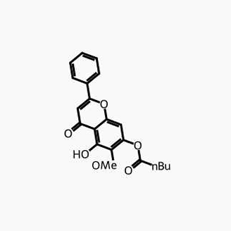 CCCCC(=O)Oc1cc2oc(-c3ccccc3)cc(=O)c2c(O)c1OC